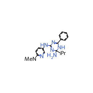 CNc1ccc(NC2=NC(N)(C(C)C)NC(c3ccccc3)=N2)cn1